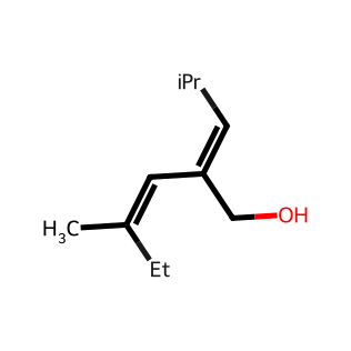 CC/C(C)=C\C(=C/C(C)C)CO